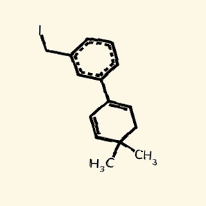 CC1(C)C=CC(c2cccc(CI)c2)=CC1